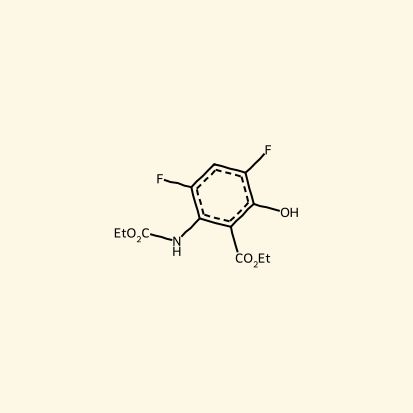 CCOC(=O)Nc1c(F)cc(F)c(O)c1C(=O)OCC